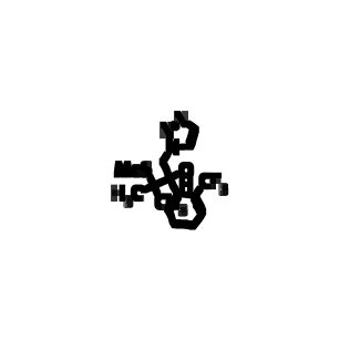 CSC(C)(C)C(O)(Cn1ccnn1)c1ccccc1C(F)(F)F